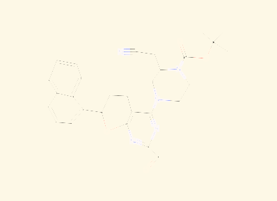 CC(C)(C)OC(=O)N1CCN(c2nc(C=O)nc3c2CCC(c2cccc4ccccc24)O3)CC1CC#N